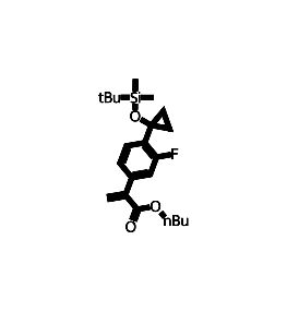 C=C(C(=O)OCCCC)c1ccc(C2(O[Si](C)(C)C(C)(C)C)CC2)c(F)c1